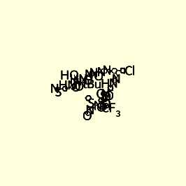 Cc1ncsc1-c1ccc([C@H](C)NC(=O)[C@@H]2C[C@@H](O)CN2C(=O)[C@@H](NC(=O)CN2CCN(CC(=O)N3CCN(CC4(C)CCC(c5ccc(Cl)cc5)=C(CN5CCN(c6ccc(C(=O)NS(=O)(=O)c7ccc(NC(CCN8CCOCC8)CSc8ccccc8)c(S(=O)(=O)C(F)(F)F)c7)cc6)CC5)C4)CC3)CC2)C(C)(C)C)cc1